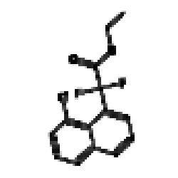 CCOC(=O)C(F)(F)c1cccc2cccc(Cl)c12